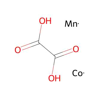 O=C(O)C(=O)O.[Co].[Mn]